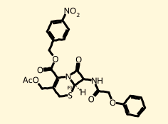 CC(=O)OCC1=C(C(=O)OCc2ccc([N+](=O)[O-])cc2)N2C(=O)C(NC(=O)COc3ccccc3)[C@H]2SC1